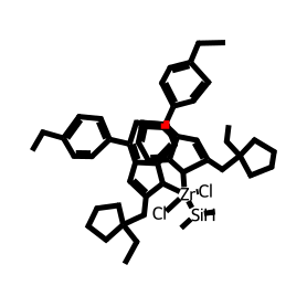 CCc1ccc(-c2cccc3c2C=C(CC2(CC)CCCC2)[CH]3[Zr]([Cl])([Cl])([CH]2C(CC3(CC)CCCC3)=Cc3c(-c4ccc(CC)cc4)cccc32)[SiH](C)C)cc1